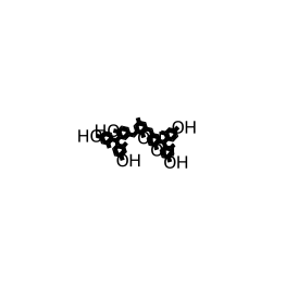 Cc1cc(Cc2ccc(O)c(C(c3ccc(O)cc3C)c3ccc(O)cc3C)c2)c(O)c(Cc2ccc(O)c(C(c3ccc(O)cc3C)c3ccc(O)cc3C)c2)c1